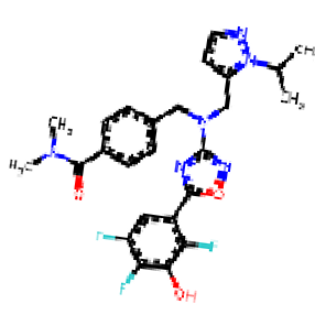 CC(C)n1nccc1CN(Cc1ccc(C(=O)N(C)C)cc1)c1noc(-c2cc(F)c(F)c(O)c2F)n1